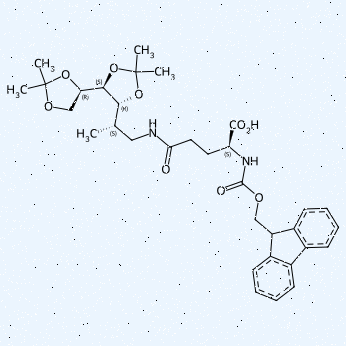 C[C@@H](CNC(=O)CC[C@H](NC(=O)OCC1c2ccccc2-c2ccccc21)C(=O)O)[C@H]1OC(C)(C)O[C@@H]1[C@H]1COC(C)(C)O1